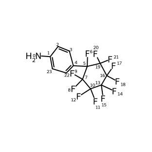 Nc1ccc(C2(F)C(F)(F)C(F)(F)C(F)(F)C(F)(F)C2(F)F)cc1